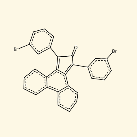 O=C1C(c2cccc(Br)c2)=c2c(c3ccccc3c3ccccc23)=C1c1cccc(Br)c1